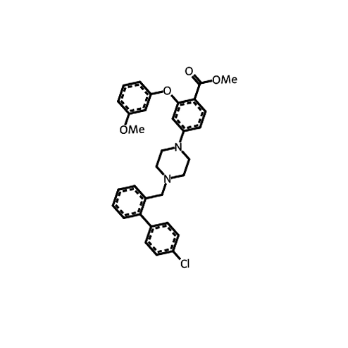 COC(=O)c1ccc(N2CCN(Cc3ccccc3-c3ccc(Cl)cc3)CC2)cc1Oc1cccc(OC)c1